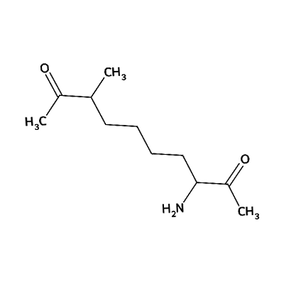 CC(=O)C(C)CCCCC(N)C(C)=O